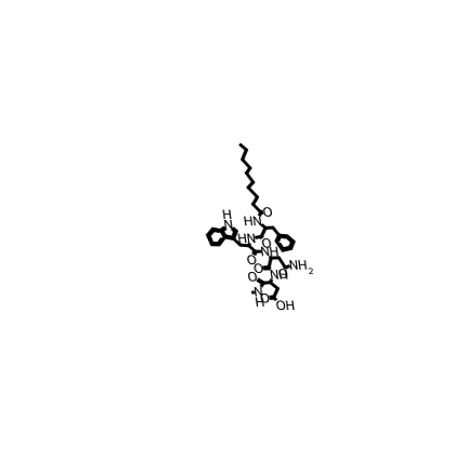 CCCCCCCCCC(=O)NC(Cc1ccccc1)C(=O)NC(Cc1c[nH]c2ccccc12)C(=O)NC(CC(N)=O)C(=O)NC(CC(=O)O)C(=O)NC